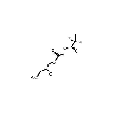 CC(=O)OCC(O)COC(=O)COC(=O)C(C)(F)F